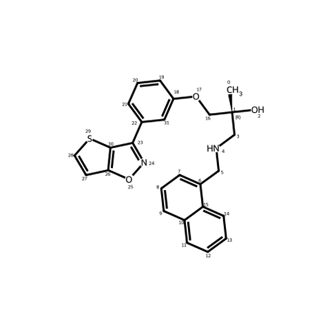 C[C@@](O)(CNCc1cccc2ccccc12)COc1cccc(-c2noc3ccsc23)c1